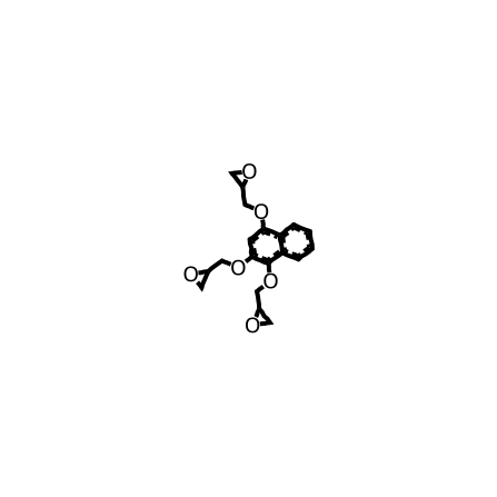 c1ccc2c(OCC3CO3)c(OCC3CO3)cc(OCC3CO3)c2c1